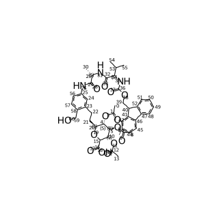 CC(=O)O[C@@H]1[C@@H](OC(C)=O)[C@H](OC(C)=O)C(C(=O)O)O[C@H]1CCc1cc(NC(=O)[C@H](C)NC(=O)[C@@H](NC(=O)OCC2c3ccccc3-c3ccccc32)C(C)C)ccc1CO